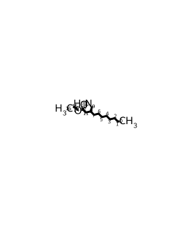 CCCCCCCCC(CN)CC(=O)OCC